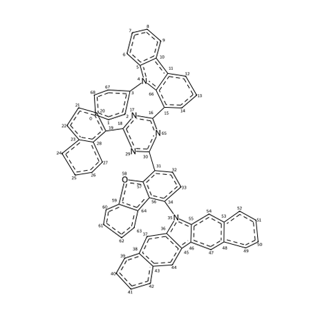 c1ccc(-n2c3ccccc3c3cccc(-c4nc(-c5cccc6ccccc56)nc(-c5ccc(-n6c7cc8ccccc8cc7c7cc8ccccc8cc76)c6c5oc5ccccc56)n4)c32)cc1